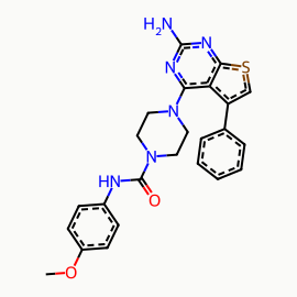 COc1ccc(NC(=O)N2CCN(c3nc(N)nc4scc(-c5ccccc5)c34)CC2)cc1